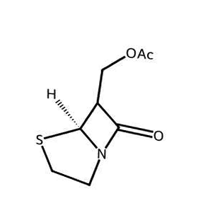 CC(=O)OCC1C(=O)N2CCS[C@@H]12